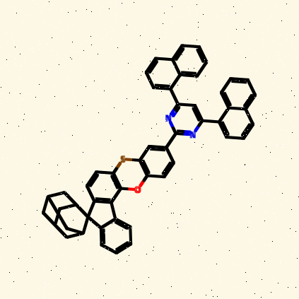 c1ccc2c(c1)-c1c(ccc3c1Oc1ccc(-c4nc(-c5cccc6ccccc56)cc(-c5cccc6ccccc56)n4)cc1S3)C21C2CC3CC(C2)CC1C3